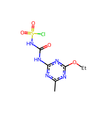 CCOc1nc(C)nc(NC(=O)NS(=O)(=O)Cl)n1